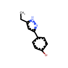 CCc1cc(-c2ccc(Br)cc2)n[nH]1